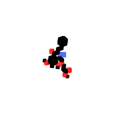 COC(=O)CCOCCNC(CCc1ccccc1)C(=O)c1cc(OC)c(C)c(OC)c1